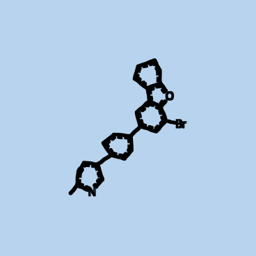 Cc1ccc(-c2ccc(-c3cc(Br)c4oc5ccccc5c4c3)cc2)cn1